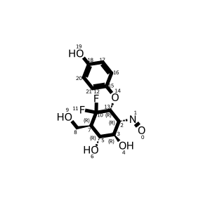 O=N[C@@H]1[C@@H](O)[C@H](O)[C@@H](CO)C(F)(F)[C@@H]1Oc1ccc(O)cc1